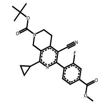 COC(=O)c1ccc(-c2nc(C3CC3)c3c(c2C#N)CCN(C(=O)OC(C)(C)C)C3)c(F)c1